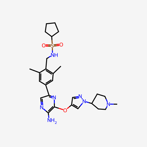 Cc1cc(-c2cnc(N)c(Oc3cnn(C4CCN(C)CC4)c3)n2)cc(C)c1CNS(=O)(=O)C1CCCC1